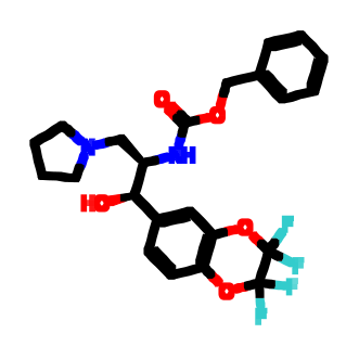 O=C(N[C@H](CN1CCCC1)[C@H](O)c1ccc2c(c1)OC(F)(F)C(F)(F)O2)OCc1ccccc1